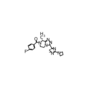 C[C@@H]1c2nnc(-c3nc(N4CCC4)ns3)n2CCN1C(=O)c1ccc(F)cc1